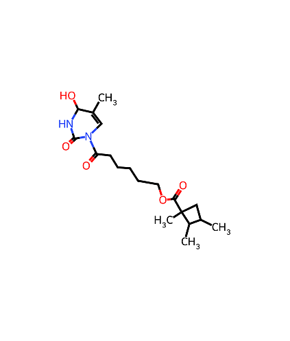 CC1=CN(C(=O)CCCCCOC(=O)C2(C)CC(C)C2C)C(=O)NC1O